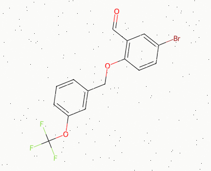 O=Cc1cc(Br)ccc1OCc1cccc(OC(F)(F)F)c1